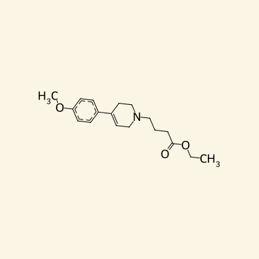 CCOC(=O)CCCN1CC=C(c2ccc(OC)cc2)CC1